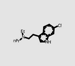 CCCN(CC)CCc1c[nH]c2cc(Cl)ccc12